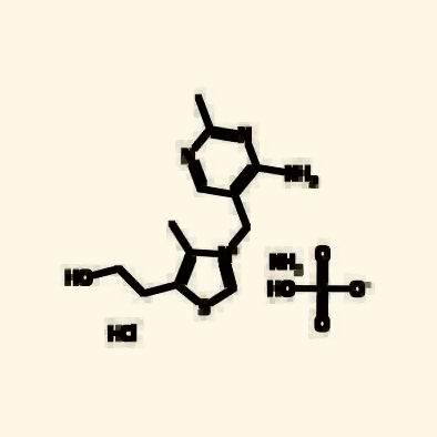 Cc1ncc(C[n+]2csc(CCO)c2C)c(N)n1.Cl.N.O=S(=O)([O-])O